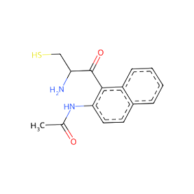 CC(=O)Nc1ccc2ccccc2c1C(=O)C(N)CS